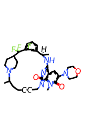 CC1CCCCCn2c(=O)nc(c3cc(N4CCOCC4)c(=O)n(C)c32)N[C@H](C)c2cccc(c2F)C(F)(F)C2CCN1CC2